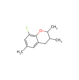 Cc1cc(F)c2c(c1)CC(C)C(C)O2